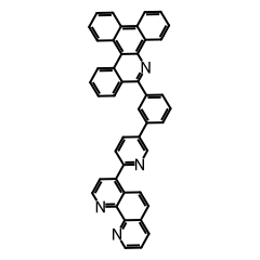 c1cc(-c2ccc(-c3ccnc4c3ccc3cccnc34)nc2)cc(-c2nc3c4ccccc4c4ccccc4c3c3ccccc23)c1